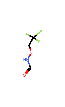 O=[C]NOCC(F)(F)F